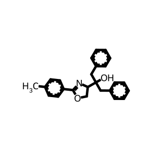 Cc1ccc(C2=NC(C(O)(Cc3ccccc3)Cc3ccccc3)CO2)cc1